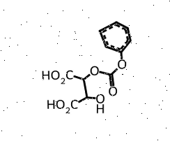 O=C(Oc1ccccc1)OC(C(=O)O)C(O)C(=O)O